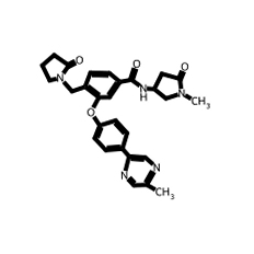 Cc1cnc(-c2ccc(Oc3cc(C(=O)NC4CC(=O)N(C)C4)ccc3CN3CCCC3=O)cc2)cn1